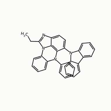 CCc1nc2ccc(-n3c4ccccc4c4ccccc43)c3c2n1-c1ccccc1N3c1ccccc1